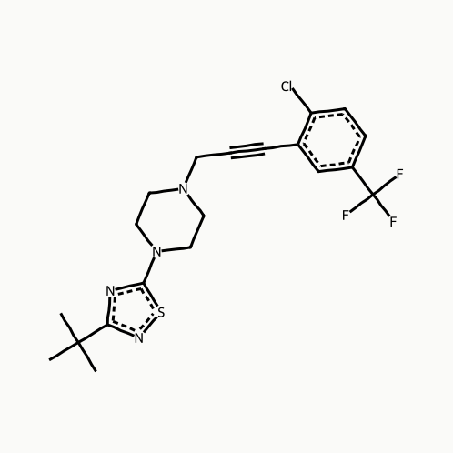 CC(C)(C)c1nsc(N2CCN(CC#Cc3cc(C(F)(F)F)ccc3Cl)CC2)n1